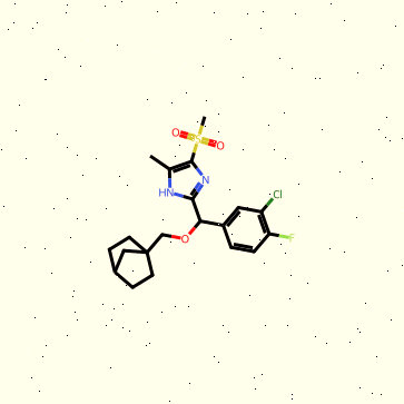 Cc1[nH]c(C(OCC23CCC(CC2)C3)c2ccc(F)c(Cl)c2)nc1S(C)(=O)=O